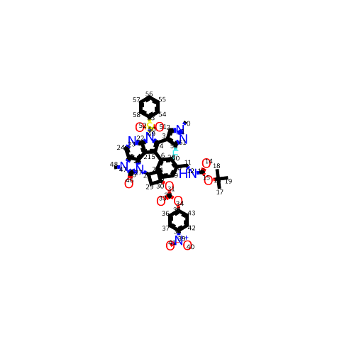 Cn1cc(-c2c(-c3cccc(CNC(=O)OC(C)(C)C)c3)c3c(ncc4c3n(C3CC(OC(=O)Oc5ccc([N+](=O)[O-])cc5)C3)c(=O)n4C)n2S(=O)(=O)c2ccccc2)c(F)n1